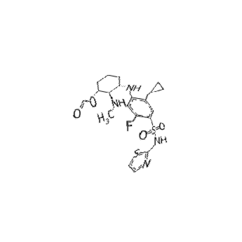 CN[C@H]1C(OC=O)CCC[C@@H]1Nc1cc(F)c(S(=O)(=O)Nc2nccs2)cc1C1CC1